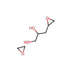 C1CO1.OCC(O)CC1CO1